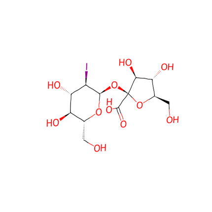 O=C(O)[C@@]1(O[C@H]2O[C@H](CO)[C@@H](O)[C@H](O)[C@H]2I)O[C@H](CO)[C@@H](O)[C@@H]1O